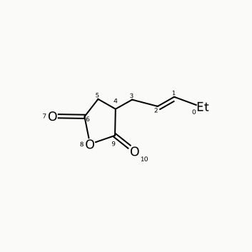 CC/C=C/CC1CC(=O)OC1=O